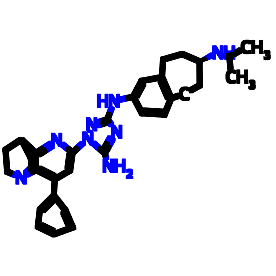 CC(C)N[C@H]1CCc2ccc(Nc3nc(N)n(-c4cc(-c5ccccc5)c5c(n4)C4CCN5CC4)n3)cc2CC1